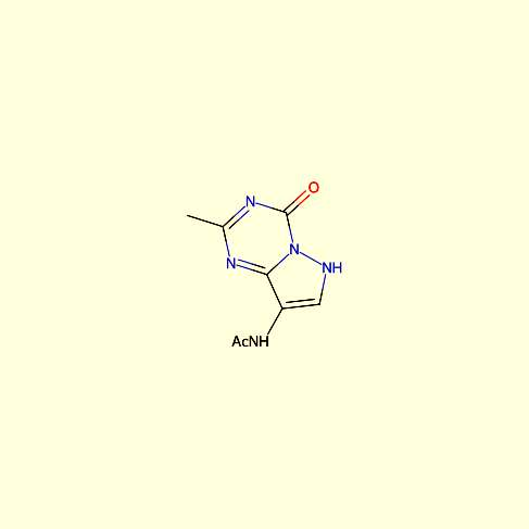 CC(=O)Nc1c[nH]n2c(=O)nc(C)nc12